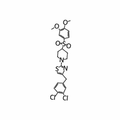 COc1ccc(S(=O)(=O)C2CCN(c3nc(Cc4ccc(Cl)c(Cl)c4)cs3)CC2)cc1OC